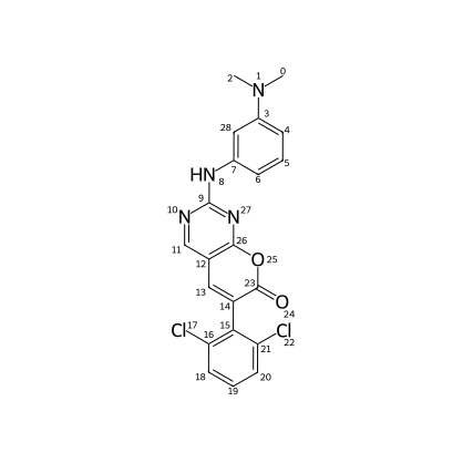 CN(C)c1cccc(Nc2ncc3cc(-c4c(Cl)cccc4Cl)c(=O)oc3n2)c1